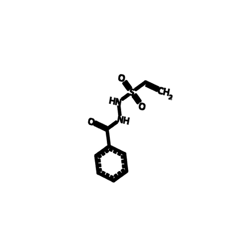 C=CS(=O)(=O)NNC(=O)c1ccccc1